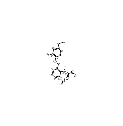 CCc1ccc(OCc2cccc(OC)c2NC(=S)OC)c(C)c1